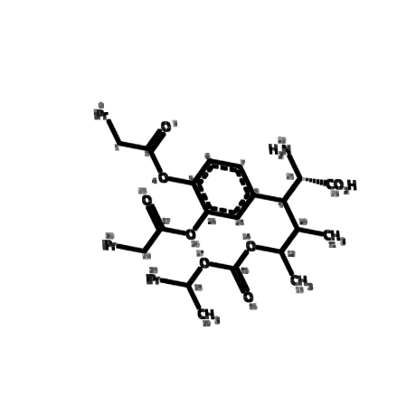 CC(C)CC(=O)Oc1ccc(C(C(C)C(C)OC(=O)OC(C)C(C)C)[C@H](N)C(=O)O)cc1OC(=O)CC(C)C